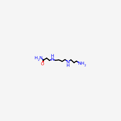 NCCCNCCCCNCCC(N)=O